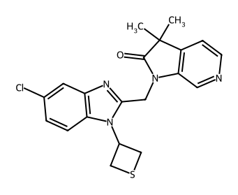 CC1(C)C(=O)N(Cc2nc3cc(Cl)ccc3n2C2CSC2)c2cnccc21